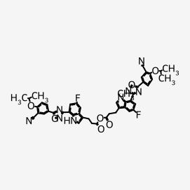 CC(C)Oc1ccc(-c2nc(-c3cc(F)cc4c(CCC(=O)OC(=O)CCc5cn(C)c6c(-c7noc(-c8ccc(OC(C)C)c(C#N)c8)n7)cc(F)cc56)c[nH]c34)no2)cc1C#N